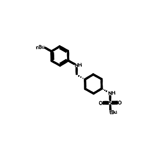 CCCCc1ccc(NC[C@H]2CC[C@@H](NS(=O)(=O)C(C)(C)C)CC2)cc1